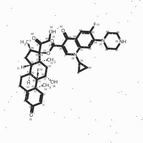 C[C@@H]1C[C@H]2[C@@H]3CCC4=CC(=O)C=C[C@]4(C)[C@@]3(F)[C@@H](O)C[C@]2(C)[C@@]1(OC(=O)c1cn(C2CC2)c2cc(N3CCNCC3)c(F)cc2c1=O)C(=O)CO